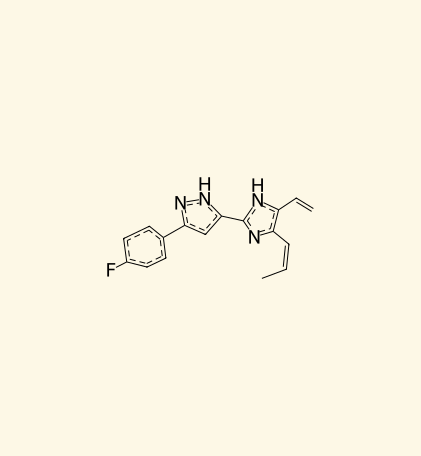 C=Cc1[nH]c(-c2cc(-c3ccc(F)cc3)n[nH]2)nc1/C=C\C